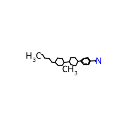 CCCCCC1CCC(C2CCC(c3ccc(C#N)cc3)CC2)C(C)C1